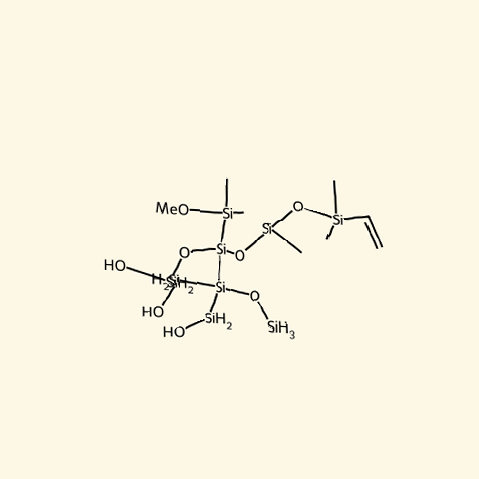 C=C[Si](C)(C)O[Si](C)(C)O[Si](O[SiH2]O)([Si](C)(C)OC)[Si](O[SiH3])([SiH2]O)[SiH2]O